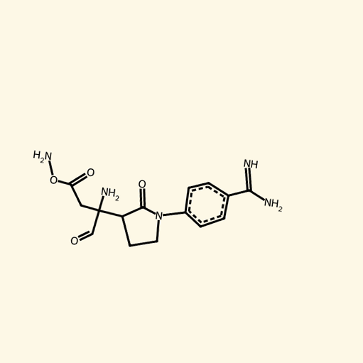 N=C(N)c1ccc(N2CCC(C(N)(C=O)CC(=O)ON)C2=O)cc1